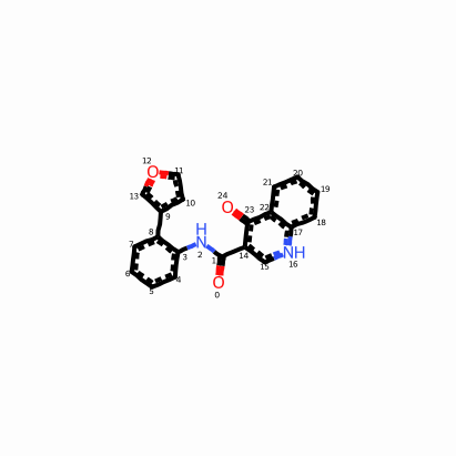 O=C(Nc1ccccc1-c1ccoc1)c1c[nH]c2ccccc2c1=O